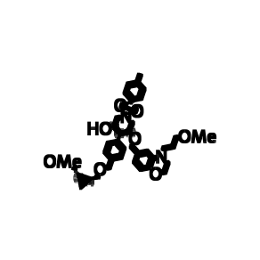 COCCCN1CCOc2ccc(CO[C@H]3CN(S(=O)(=O)c4ccc(C)cc4)C[C@@H](O)[C@@H]3c3ccc(COC[C@H]4C[C@@H]4COC)cc3)cc21